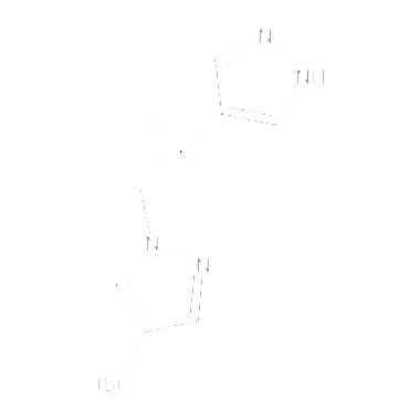 CC(C)(C)c1cnn(CC(C)(C)c2cn[nH]c2)c1